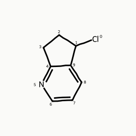 ClC1CCc2ncccc21